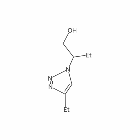 CCc1cn(C(CC)CO)nn1